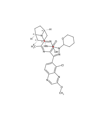 COc1cnc2ccc(-c3nn(C4CCCCO4)c4nc(N5[C@H]6CC[C@@H]5[C@@H](F)[C@@H](NC(=O)O)C6)c(C)nc34)c(Cl)c2n1